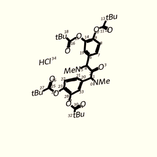 CNC(C(=O)C(NC)c1ccc(OC(=O)C(C)(C)C)c(OC(=O)C(C)(C)C)c1)c1ccc(OC(=O)C(C)(C)C)c(OC(=O)C(C)(C)C)c1.Cl